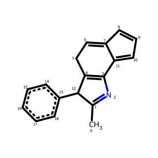 CC1=NC2=C(CC=C3C=CC=C32)C1c1ccccc1